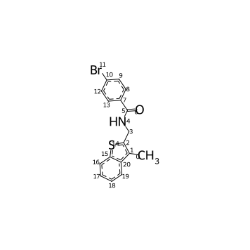 Cc1c(CNC(=O)c2ccc(Br)cc2)sc2ccccc12